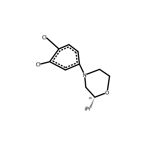 CC(C)[C@@H]1CN(c2ccc(Cl)c(Cl)c2)CCO1